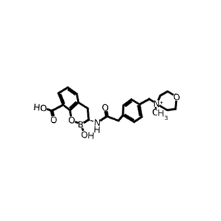 C[N+]1(Cc2ccc(CC(=O)N[C@H]3Cc4cccc(C(=O)O)c4OB3O)cc2)CCOCC1